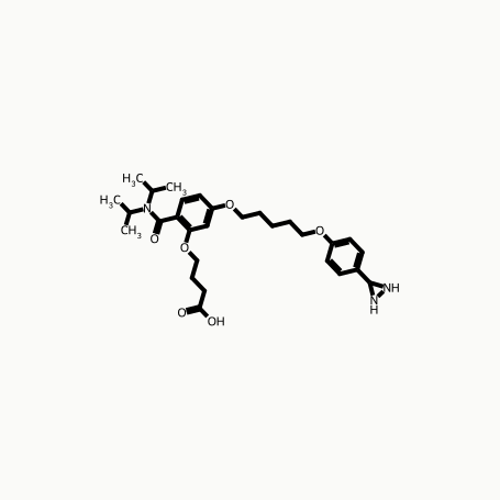 CC(C)N(C(=O)c1ccc(OCCCCCOc2ccc(C3NN3)cc2)cc1OCCCC(=O)O)C(C)C